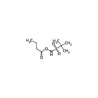 CCCC(=O)ONS(=O)(=O)C(C)(C)C